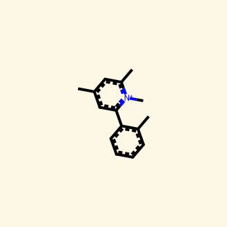 Cc1cc(C)[n+](C)c(-c2ccccc2C)c1